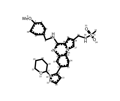 COc1ccc(CNc2nc3cc(-c4ccnn4C4CCCCO4)ccc3n3cc(CNS(C)(=O)=O)cc23)cc1